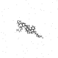 CCN1CCN(CC)c2cc(Nc3ncc(Cl)c(Nc4ccccc4C(=O)OCCOC)n3)ccc2C1